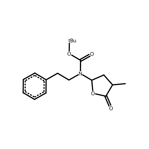 CC1CC(N(CCc2ccccc2)C(=O)OC(C)(C)C)OC1=O